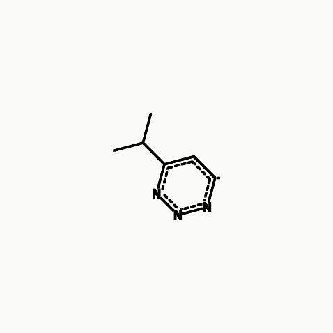 CC(C)c1c[c]nnn1